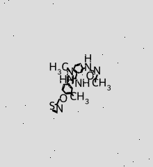 CNc1ccc(NC2=NCC(C)O2)cc1C(=N)Nc1ccc(OCc2nccs2)c(C)c1